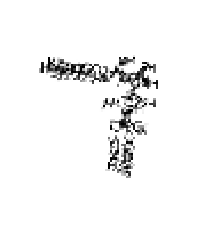 O.O.O.O.O.O.O.O.O.O.OB(O)O.OB(O)O.OB(O)O.[K+].[K+].[O-]B([O-])O